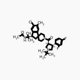 CC(=O)NC(C)(C)[C@@H]1CC2(CCN(C(=O)[C@@H]3CN(C(C)(C)C)C[C@H]3c3ccc(F)cc3F)CC2)c2cc(C)c(Cl)cc21